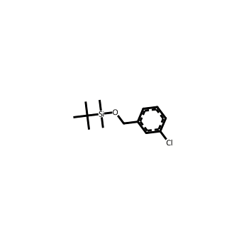 CC(C)(C)[Si](C)(C)OCc1cccc(Cl)c1